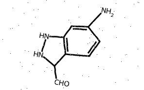 Nc1ccc2c(c1)NNC2C=O